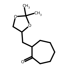 CC1(C)OCC(CC2CCCCCC2=O)O1